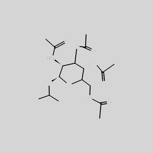 CC(=O)N[C@H]1C(OC(C)=O)[C@H](OC(C)=O)C(COC(C)=O)O[C@H]1OC(C)C